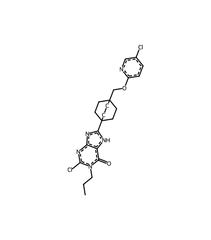 CCCn1c(Cl)nc2nc(C34CCC(COc5ccc(Cl)cn5)(CC3)CC4)[nH]c2c1=O